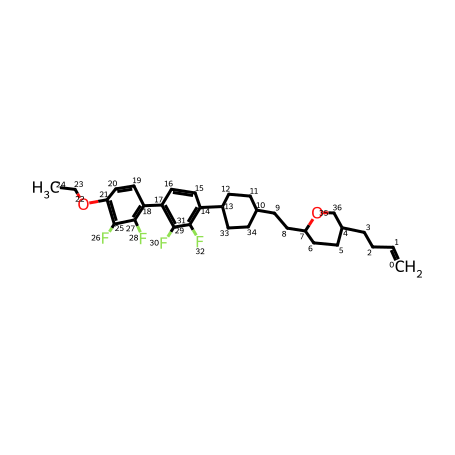 C=CCCC1CCC(CCC2CCC(c3ccc(-c4ccc(OCC)c(F)c4F)c(F)c3F)CC2)OC1